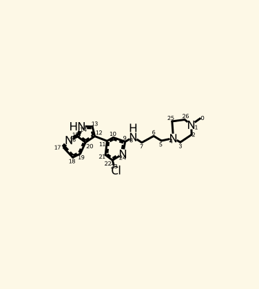 CN1CCN(CCCNc2cc(-c3c[nH]c4ncccc34)cc(Cl)n2)CC1